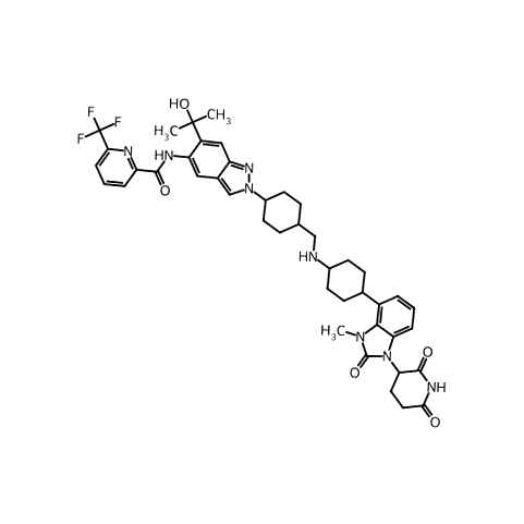 Cn1c(=O)n(C2CCC(=O)NC2=O)c2cccc(C3CCC(NCC4CCC(n5cc6cc(NC(=O)c7cccc(C(F)(F)F)n7)c(C(C)(C)O)cc6n5)CC4)CC3)c21